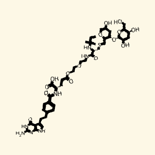 CCC(C)(C)N[C@H](CSCC1OCC(O)C[C@@H]1O[C@@H]1OC(CO)[C@@H](O)CC1O)C(=O)NCCOCCOC(=O)CC[C@H](NC(=O)c1ccc(CCc2c[nH]c3nc(N)[nH]c(=O)c23)cc1)C(=O)O